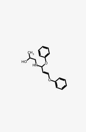 CC(O)CNC(C=COc1ccccc1)Oc1ccccc1